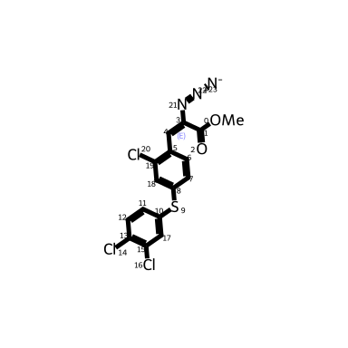 COC(=O)/C(=C\c1ccc(Sc2ccc(Cl)c(Cl)c2)cc1Cl)N=[N+]=[N-]